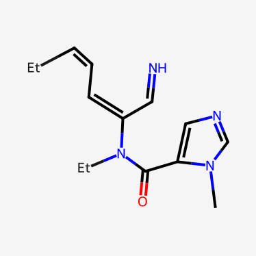 CC/C=C\C=C(/C=N)N(CC)C(=O)c1cncn1C